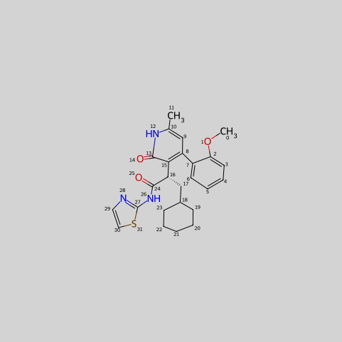 COc1ccccc1-c1cc(C)[nH]c(=O)c1[C@H](CC1CCCCC1)C(=O)Nc1nccs1